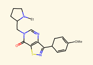 CCN1CCCC1Cn1cnc2c(C3C=CC(OC)=CC3)nsc2c1=O